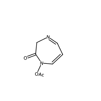 CC(=O)ON1C=CC=NCC1=O